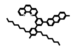 CCCCCCCCc1cc(-c2cc(-c3ccc4cc5cc(C)ccc5cc4c3)cc(-c3ccc4ccc5cccnc5c4n3)c2)c(CCCCCCCC)cc1C